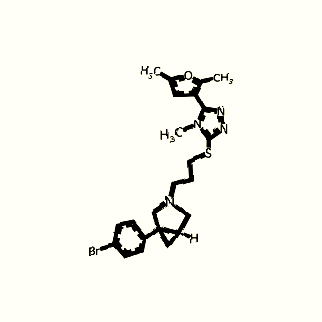 Cc1cc(-c2nnc(SCCCN3C[C@@H]4CC4(c4ccc(Br)cc4)C3)n2C)c(C)o1